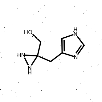 OCC1(Cc2c[nH]cn2)NN1